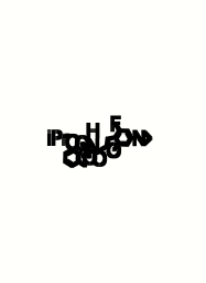 Cc1cccc(OC(C)C)c1S(=O)(=O)NC(=O)c1cc2c(F)cc(N3CCC3)cc2o1